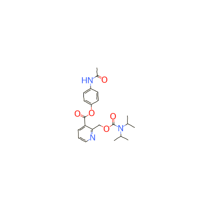 CC(=O)Nc1ccc(OC(=O)c2cccnc2COC(=O)N(C(C)C)C(C)C)cc1